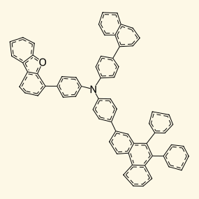 c1ccc(-c2c(-c3ccccc3)c3cc(-c4ccc(N(c5ccc(-c6cccc7ccccc67)cc5)c5ccc(-c6cccc7c6oc6ccccc67)cc5)cc4)ccc3c3ccccc23)cc1